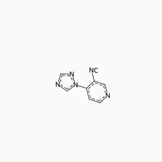 [C-]#[N+]c1cnccc1-n1cncn1